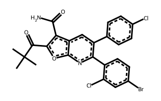 CC(C)(C)C(=O)c1oc2nc(-c3ccc(Br)cc3Cl)c(-c3ccc(Cl)cc3)cc2c1C(N)=O